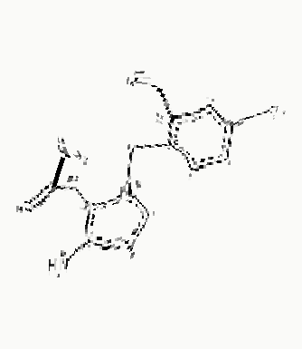 Cc1ccc(Cn2cnc(N)c2C(N)=O)c(C)c1